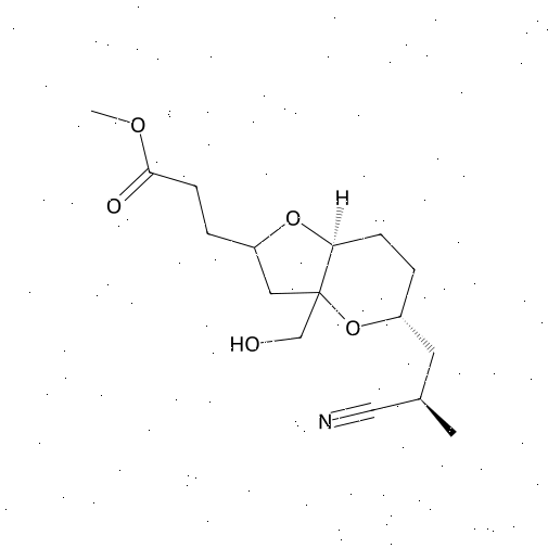 COC(=O)CCC1CC2(CO)O[C@@H](C[C@@H](C)C#N)CC[C@@H]2O1